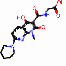 Cn1c(=O)c(C(=O)NCC(=O)O)c(O)c2ccc(N3CCCCC3)nc21